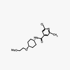 COCCO[C@H]1CC[C@H](NC(=O)c2cc(C)nc(Cl)c2)CC1